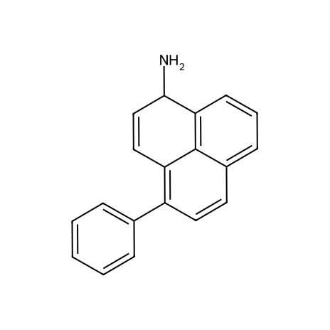 NC1C=Cc2c(-c3ccccc3)ccc3cccc1c23